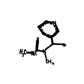 CNC(=S)N(C)C(Br)c1cccnc1